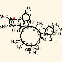 CC[C@H]1OC(=O)[C@H](C)[C@@H](O[C@H]2C[C@@](C)(OC)[C@@H](O)[C@H](C)O2)[C@H](C)[C@@H](O[C@@H]2O[C@H](C)C[C@H](N(C)C)[C@H]2OC(=O)SC[C@H](NC(C)=O)C(=O)OC)[C@](C)(O)C[C@@H](C)CN(C)[C@H](C)[C@@H](O)[C@]1(C)O